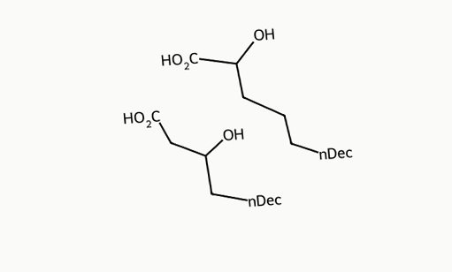 CCCCCCCCCCCC(O)CC(=O)O.CCCCCCCCCCCCCC(O)C(=O)O